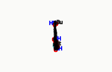 CCCCNC(=O)OCCCCCCCCCCCCCCNC(=O)CCC(=O)O[C@@H]1C(F)[C@H](n2ccc(=O)[nH]c2=O)O[C@@H]1CC